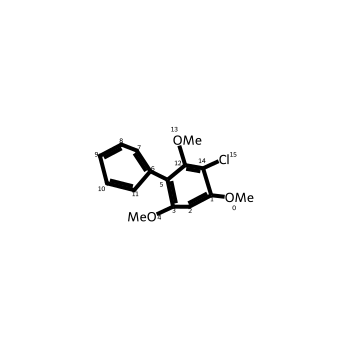 COc1cc(OC)c(-c2ccccc2)c(OC)c1Cl